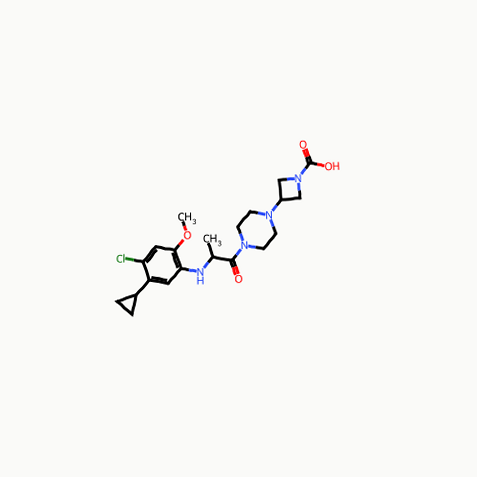 COc1cc(Cl)c(C2CC2)cc1NC(C)C(=O)N1CCN(C2CN(C(=O)O)C2)CC1